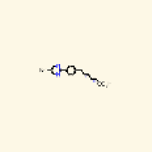 N#Cc1cnc(-c2ccc(C/C=C/C=C/C(=O)O)cc2)nc1